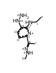 CCNc1nc(/C(C)=N/NC)ccc1NN